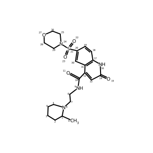 CC1CCCCN1CCNC(=O)c1cc(=O)[nH]c2ccc(S(=O)(=O)N3CCOCC3)cc12